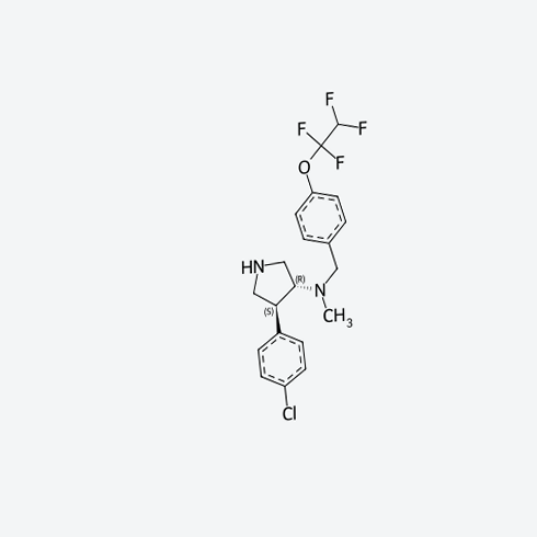 CN(Cc1ccc(OC(F)(F)C(F)F)cc1)[C@H]1CNC[C@@H]1c1ccc(Cl)cc1